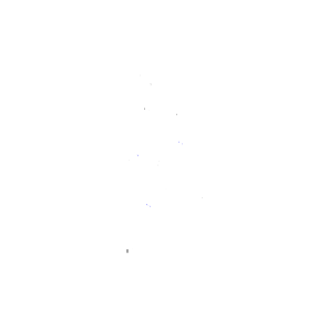 CC(C)CNC(=O)c1ncc(C(C)(C)C)cn1